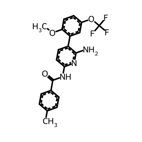 COc1ccc(OC(F)(F)F)cc1-c1ccc(NC(=O)c2ccc(C)cc2)nc1N